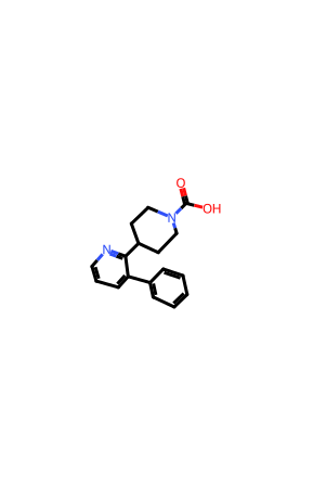 O=C(O)N1CCC(c2ncccc2-c2ccccc2)CC1